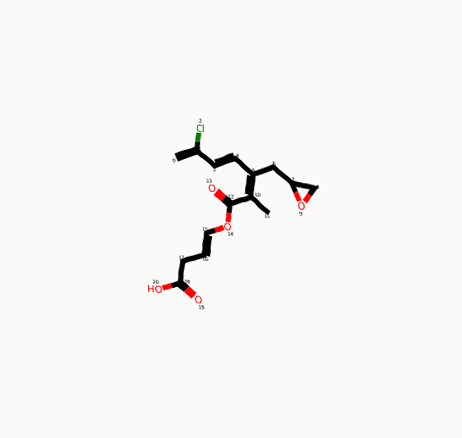 C=C(Cl)C=CC(CC1CO1)=C(C)C(=O)OC=CCC(=O)O